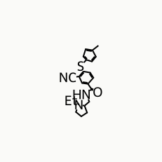 CCN1CCCC1CNC(=O)c1ccc(Sc2ccc(C)cc2)c(C#N)c1